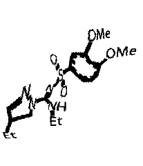 CCN/C(=N\S(=O)(=O)c1ccc(OC)c(OC)c1)N1CC(CC)C=N1